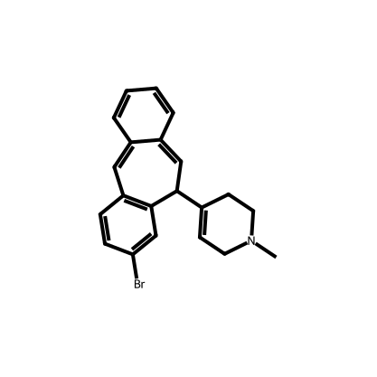 CN1CC=C(C2C=c3ccccc3=Cc3ccc(Br)cc32)CC1